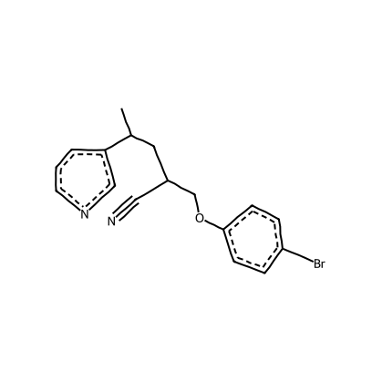 CC(CC(C#N)COc1ccc(Br)cc1)c1cccnc1